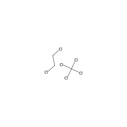 ClC(Cl)(Cl)Cl.ClCCCl